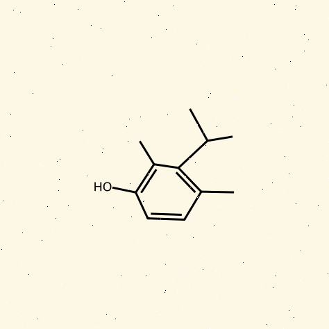 Cc1ccc(O)c(C)c1C(C)C